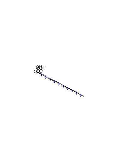 CC/C(C)=C/CC/C(C)=C/CC/C(C)=C/CC/C(C)=C/CC/C(C)=C/CC/C(C)=C/CC/C(C)=C/CC/C(C)=C/CC/C(C)=C/CC/C(C)=C/CC1=C(C)C(=O)C(CO)=C(CO)C1=O